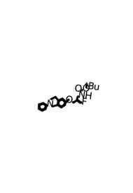 CC(C)(C)OC(=O)NC/C(=C\F)COc1ccc2c(c1)CCN(c1ccccc1)C2